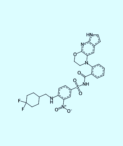 O=C(NS(=O)(=O)c1ccc(NCC2CCC(F)(F)CC2)c([N+](=O)[O-])c1)c1ccccc1N1CCOc2nc3[nH]ccc3cc21